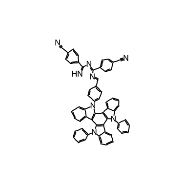 N#Cc1ccc(C(=N)/N=C(\N=C\c2ccc(-n3c4ccccc4c4c5c(c6ccccc6n5-c5ccccc5)c5c(c6ccccc6n5-c5ccccc5)c43)cc2)c2ccc(C#N)cc2)cc1